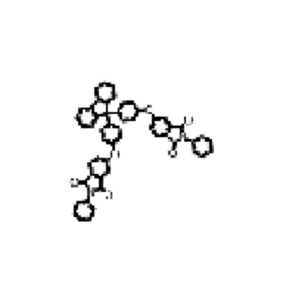 O=C1c2ccc(Oc3ccc(C4(c5ccc(Oc6ccc7c(c6)C(=O)N(c6ccccc6)C7=O)cc5)c5ccccc5-c5ccccc54)cc3)cc2C(=O)N1c1ccccc1